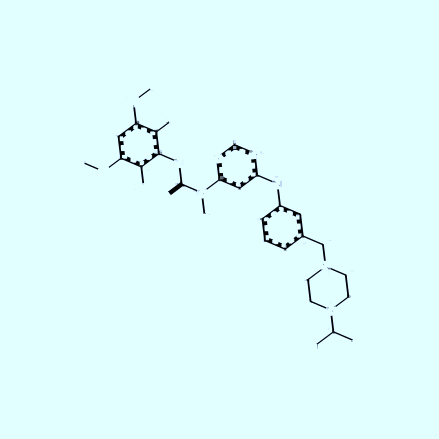 COc1cc(OC)c(Cl)c(NC(=O)N(C)c2cc(Nc3cccc(CN4CCN(C(C)C)CC4)c3)ncn2)c1Cl